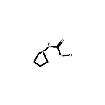 CCOC(=O)NN1CCCC1